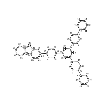 C1=CC(c2nc(-c3ccc(-c4ccccc4)cc3)nc(-c3ccc(-c4ccc5c(c4)oc4ccccc45)cc3)n2)CC=C1c1ccccc1